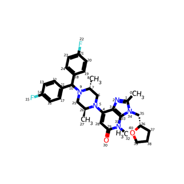 Cc1nc2c(N3C[C@@H](C)N(C(c4ccc(F)cc4)c4ccc(F)cc4)C[C@@H]3C)cc(=O)n(C)c2n1C[C@@H]1CCCO1